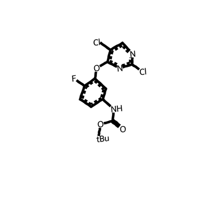 CC(C)(C)OC(=O)Nc1ccc(F)c(Oc2nc(Cl)ncc2Cl)c1